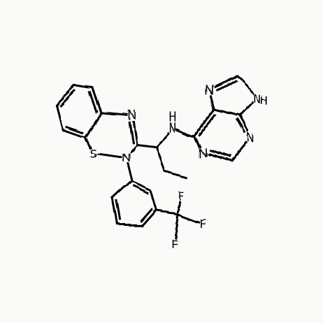 CCC(Nc1ncnc2[nH]cnc12)C1=Nc2ccccc2SN1c1cccc(C(F)(F)F)c1